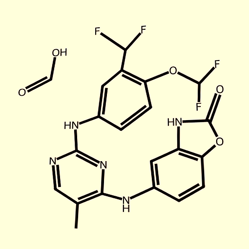 Cc1cnc(Nc2ccc(OC(F)F)c(C(F)F)c2)nc1Nc1ccc2oc(=O)[nH]c2c1.O=CO